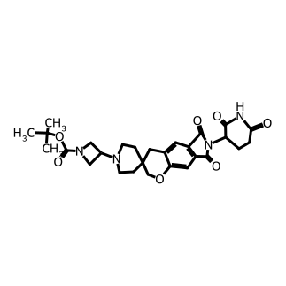 CC(C)(C)OC(=O)N1CC(N2CCC3(CC2)COc2cc4c(cc2C3)C(=O)N(C2CCC(=O)NC2=O)C4=O)C1